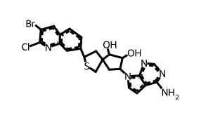 Nc1ncnc2c1ccn2C1CC2(CSC(c3ccc4cc(Br)c(Cl)nc4c3)C2)C(O)C1O